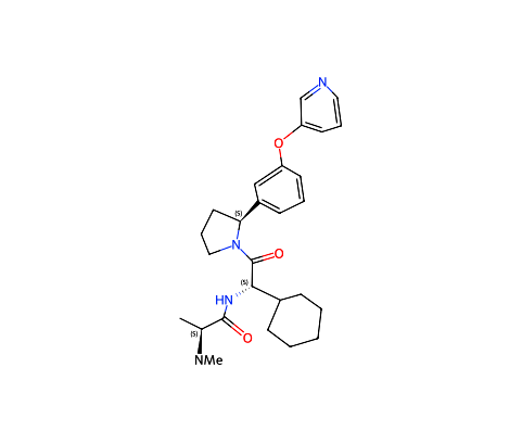 CN[C@@H](C)C(=O)N[C@H](C(=O)N1CCC[C@H]1c1cccc(Oc2cccnc2)c1)C1CCCCC1